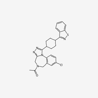 CC(=O)N1Cc2cc(Cl)ccc2-n2c(nnc2C2CCC(c3nsc4ccccc34)CC2)C1